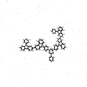 c1ccc(-c2nc(-c3ccc(-n4c5ccccc5c5cc(-c6ccc7c8ccccc8n(-c8ccccc8)c7c6)ccc54)cc3)cc(-c3ccc(-n4c5ccccc5c5cc(-c6ccc7c8ccccc8n(-c8ccccc8)c7c6)ccc54)cc3)n2)cc1